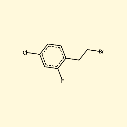 Fc1cc(Cl)ccc1CCBr